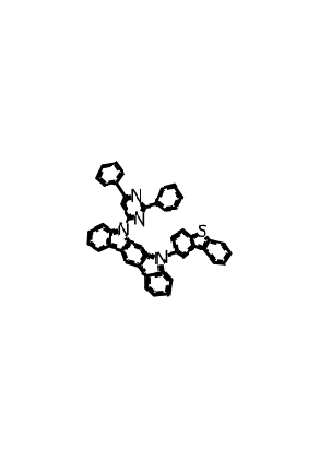 c1ccc(-c2cc(-n3c4ccccc4c4cc5c6ccccc6n(-c6ccc7sc8ccccc8c7c6)c5cc43)nc(-c3ccccc3)n2)cc1